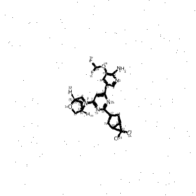 Nc1ncc(-c2cc(N3C[C@@H]4C[C@H]3CO4)nc(C3CC4C(C3)C4(Cl)Cl)n2)cc1OC(F)F